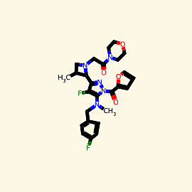 CC1CN(CC(=O)N2CCOCC2)C1c1nn(C(=O)c2ccco2)c(N(C)Cc2ccc(F)cc2)c1F